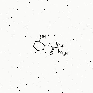 CCC(F)(C(=O)OC1CCCCC1O)S(=O)(=O)O